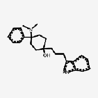 CN(C)C1(c2ccccc2)CCC(O)(CCCc2c[nH]c3ccccc23)CC1